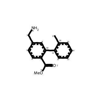 COC(=O)c1ccc(CN)cc1-c1ccccc1C